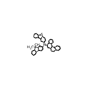 CC1(C)c2ccccc2-c2ccc(N(c3ccc4sc5ccccc5c4c3)c3cc4ccc5ccccc5c4c4ccccc34)cc21